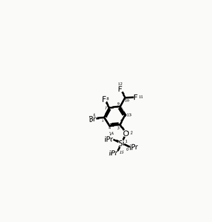 CC(C)[Si](Oc1cc(Br)c(F)c(C(F)F)c1)(C(C)C)C(C)C